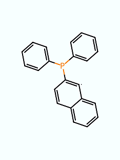 [c]1c(P(c2ccccc2)c2ccccc2)ccc2ccccc12